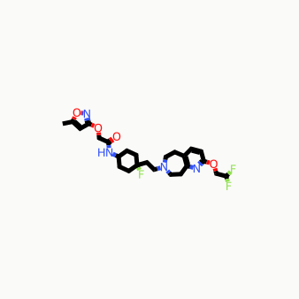 Cc1cc(OCC(=O)NC2CCC(F)(CCN3CCc4ccc(OCC(F)F)nc4CC3)CC2)no1